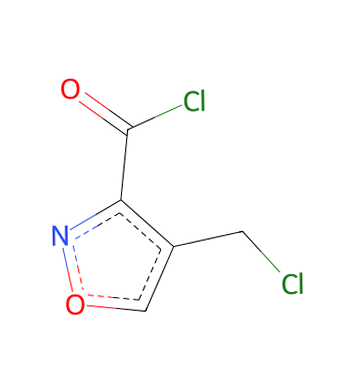 O=C(Cl)c1nocc1CCl